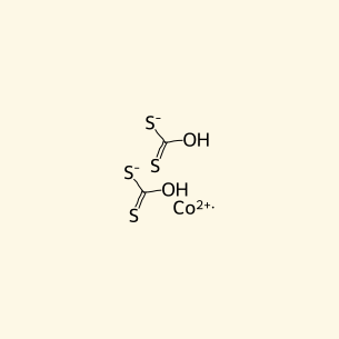 OC(=S)[S-].OC(=S)[S-].[Co+2]